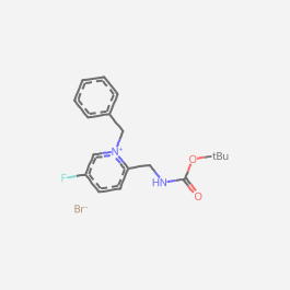 CC(C)(C)OC(=O)NCc1ccc(F)c[n+]1Cc1ccccc1.[Br-]